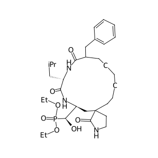 CCOP(=O)(OCC)[C@H](O)[C@@H]1CC2(CCCCCCC(Cc3ccccc3)C(=O)N[C@@H](CC(C)C)C(=O)N1)CCNC2=O